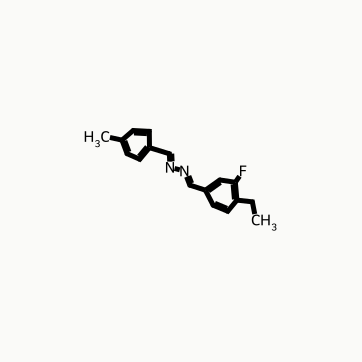 CCc1ccc(C=NN=Cc2ccc(C)cc2)cc1F